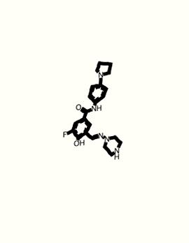 O=C(Nc1ccc(N2CCCC2)cc1)c1cc(F)c(O)c(C=NN2CCNCC2)c1